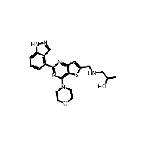 CC(O)CNCc1cc2nc(-c3cccc4[nH]ncc34)nc(N3CCOCC3)c2s1